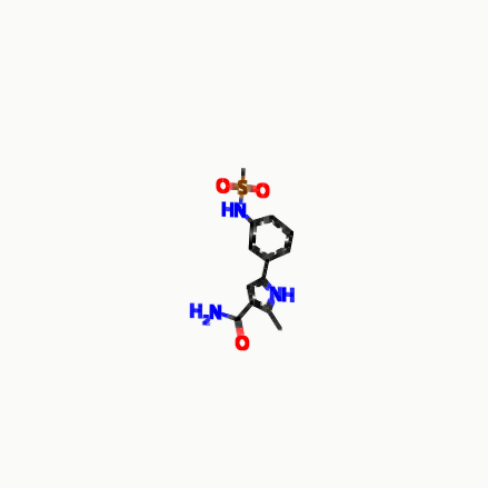 Cc1[nH]c(-c2cccc(NS(C)(=O)=O)c2)cc1C(N)=O